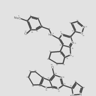 COc1ccc(CNc2nc(-c3ccno3)nc3sc4c(c23)CCCC4)cc1Cl.Clc1nc(-c2ccno2)nc2sc3c(c12)CCCC3